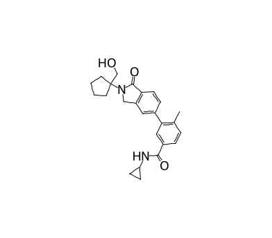 Cc1ccc(C(=O)NC2CC2)cc1-c1ccc2c(c1)CN(C1(CO)CCCC1)C2=O